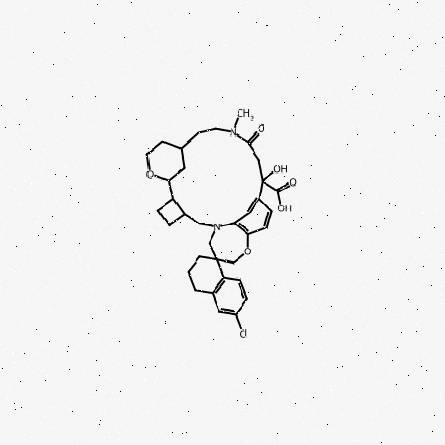 CN1CCC2CCOC(C2)C2CCC2CN2CC3(CCCc4cc(Cl)ccc43)COc3ccc(cc32)C(O)(C(=O)O)CC1=O